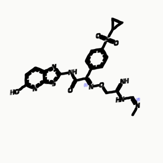 C/N=C\NC(=N)CO/N=C(/C(=O)Nc1nc2ccc(O)nc2s1)c1ccc(S(=O)(=O)C2CC2)cc1